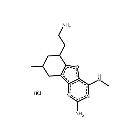 CNc1nc(N)nc2c3c(oc12)C(CCN)CC(C)C3.Cl